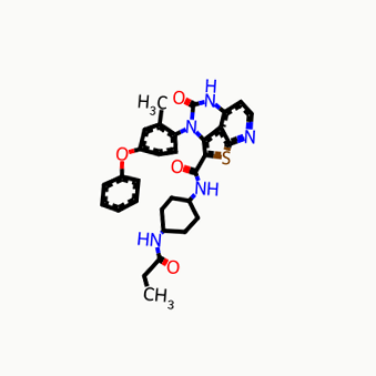 CCC(=O)NC1CCC(NC(=O)c2sc3nccc4c3c2N(c2ccc(Oc3ccccc3)cc2C)C(=O)N4)CC1